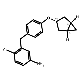 Nc1ccc(Cl)c(Cc2ccc(O[C@@H]3C[C@@H]4C[C@@H]4C3)cc2)c1